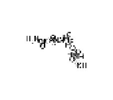 N[C@@H]1CC(=O)N(c2ccc(S(=O)(=O)N3CCN(c4cc(C(F)(F)C5CCC(C(=O)NNC(=O)C6CCNCC6)CC5)cc(Cl)n4)CC3)cc2)C1